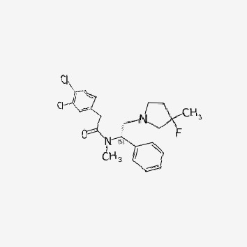 CN(C(=O)Cc1ccc(Cl)c(Cl)c1)[C@H](CN1CCC(C)(F)C1)c1ccccc1